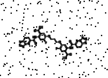 O=C(Nc1cc(OCCCOc2cc(C(=O)O)c(NC(=O)c3ccc4nnnn4n3)cc2F)c(F)cc1C(=O)O)c1ccc2nnnn2n1